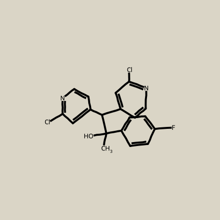 CC(O)(c1ccc(F)cc1)C(c1ccnc(Cl)c1)c1ccnc(Cl)c1